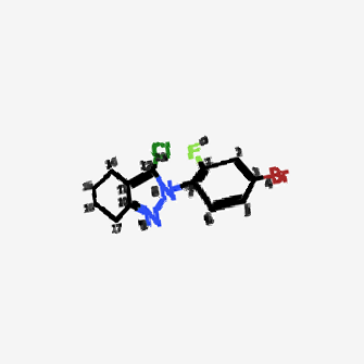 Fc1cc(Br)ccc1-n1nc2c(c1Cl)CCCC2